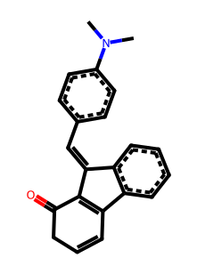 CN(C)c1ccc(C=C2C3=C(C=CCC3=O)c3ccccc32)cc1